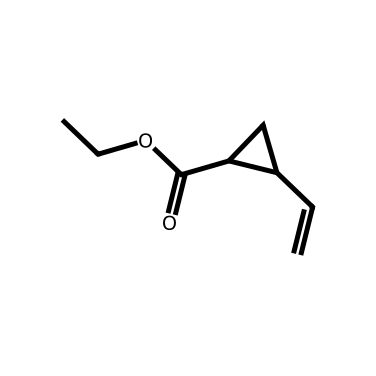 C=CC1CC1C(=O)OCC